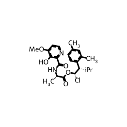 COc1ccnc(C(=O)N[C@@H](C)C(=O)O[C@@H](Cl)[C@H](c2ccc(C)cc2C)C(C)C)c1O